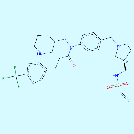 C=CS(=O)(=O)NC[C@@H]1CCN(Cc2ccc(N(CC3CCCNC3)C(=O)CCc3ccc(C(F)(F)F)cc3)cc2)C1